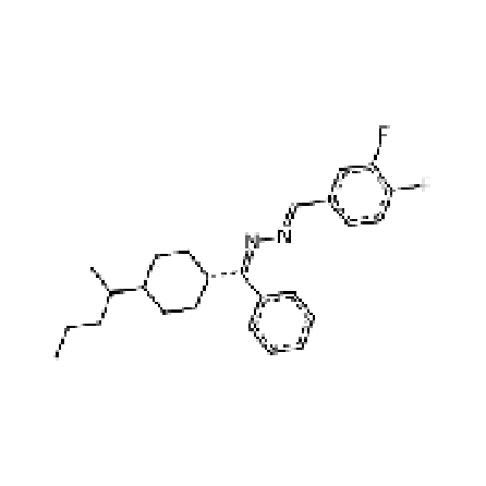 CCCC(C)[C@H]1CC[C@H](C(=NN=Cc2ccc(F)c(F)c2)c2ccccc2)CC1